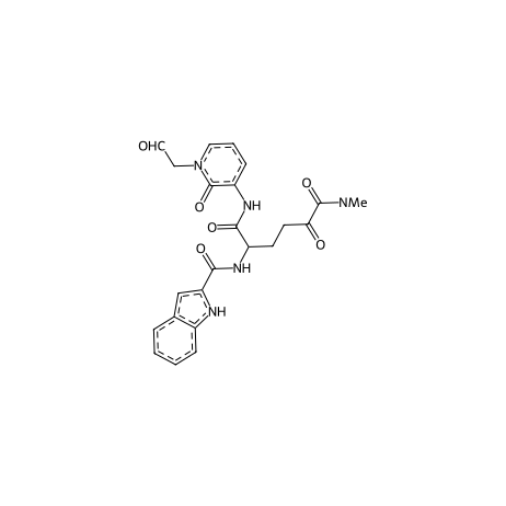 CNC(=O)C(=O)CCC(NC(=O)c1cc2ccccc2[nH]1)C(=O)Nc1cccn(CC=O)c1=O